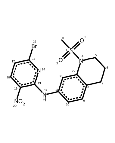 CS(=O)(=O)N1CCCc2ccc(Nc3nc(Br)ccc3[N+](=O)[O-])cc21